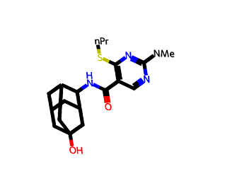 CCCSc1nc(NC)ncc1C(=O)NC1C2CC3CC1CC(O)(C3)C2